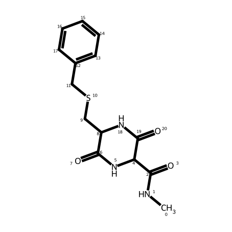 CNC(=O)C1NC(=O)C(CSCc2ccccc2)NC1=O